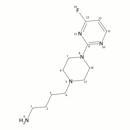 NCCCCN1CCN(c2nccc(F)n2)CC1